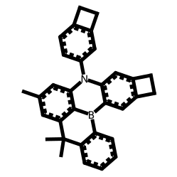 Cc1cc2c3c(c1)C(C)(C)c1ccccc1B3c1cc3c(cc1N2c1ccc2c(c1)CC2)CC3